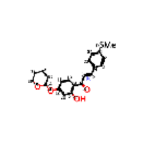 CSc1ccc(/C=C/C(=O)c2ccc(OC3CCCCO3)cc2O)cc1